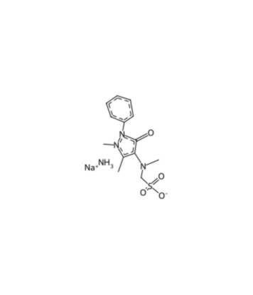 Cc1c(N(C)CS(=O)(=O)[O-])c(=O)n(-c2ccccc2)n1C.N.[Na+]